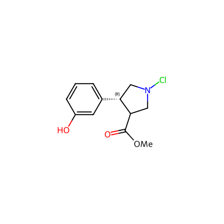 COC(=O)C1CN(Cl)C[C@H]1c1cccc(O)c1